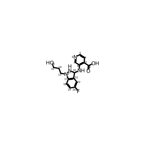 O=C(O)c1ccncc1NC1NN(CCCO)c2ccc(F)cc21